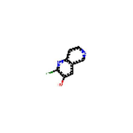 Oc1cc2cnccc2nc1Cl